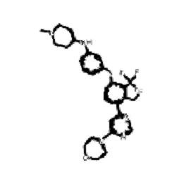 CN1CCC(Nc2cccc(Sc3ccc(-c4cc(N5CCOCC5)ncn4)c(CF)c3C(F)(F)F)c2)CC1